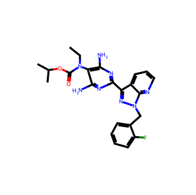 CCN(C(=O)OC(C)C)c1c(N)nc(-c2nn(Cc3ccccc3F)c3ncccc23)nc1N